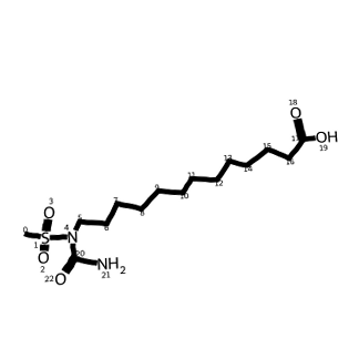 CS(=O)(=O)N(CCCCCCCCCCCCC(=O)O)C(N)=O